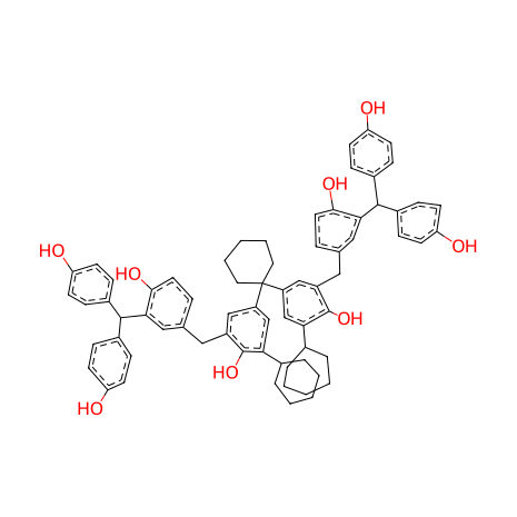 Oc1ccc(C(c2ccc(O)cc2)c2cc(Cc3cc(C4(c5cc(Cc6ccc(O)c(C(c7ccc(O)cc7)c7ccc(O)cc7)c6)c(O)c(C6CCCCC6)c5)CCCCC4)cc(C4CCCCC4)c3O)ccc2O)cc1